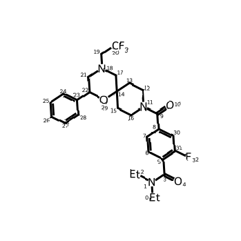 CCN(CC)C(=O)c1ccc(C(=O)N2CCC3(CC2)CN(CC(F)(F)F)CC(c2ccccc2)O3)cc1F